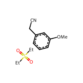 CCS(=O)(=O)CC.COc1cccc(CC#N)c1